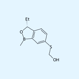 CC[C@H]1OB(C)c2cc(SCO)ccc21